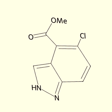 COC(=O)c1c(Cl)ccc2n[nH]cc12